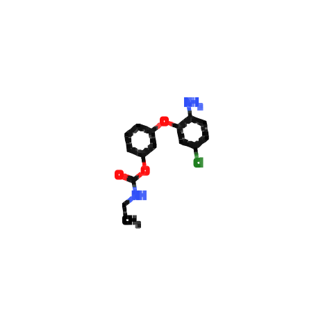 CCNC(=O)Oc1cccc(Oc2cc(Cl)ccc2N)c1